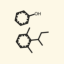 CCC(C)c1c(C)cccc1C.Oc1ccccc1